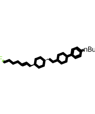 CCCCc1ccc(C2CCC(CC[C@H]3CC[C@H](C/C=C/CCCCF)CC3)CC2)cc1